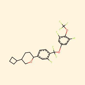 Fc1cc(C2CCC(C3CCC3)CO2)ccc1C(F)(F)Oc1cc(F)c(OC(F)(F)F)c(F)c1